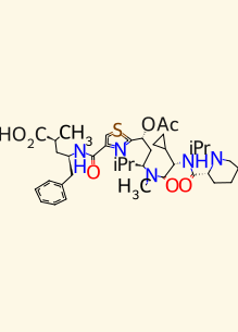 CC(=O)O[C@H](C[C@H](C(C)C)N(C)C(=O)[C@@H](NC(=O)[C@H]1CCCCN1C(C)C)C1CC1)c1nc(C(=O)N[C@@H](Cc2ccccc2)C[C@H](C)C(=O)O)cs1